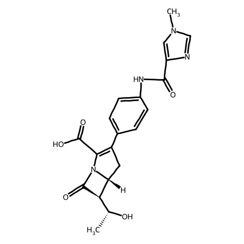 C[C@@H](O)[C@H]1C(=O)N2C(C(=O)O)=C(c3ccc(NC(=O)c4cn(C)cn4)cc3)C[C@H]12